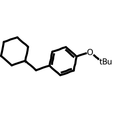 CC(C)(C)Oc1ccc(C[C]2CCCCC2)cc1